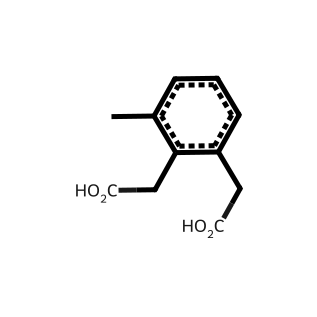 Cc1cccc(CC(=O)O)c1CC(=O)O